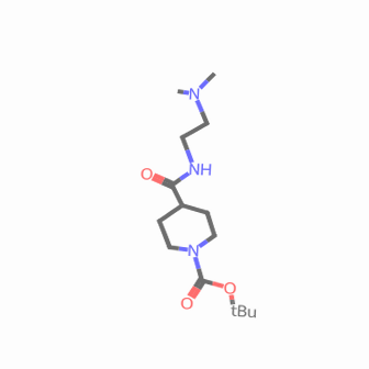 CN(C)CCNC(=O)C1CCN(C(=O)OC(C)(C)C)CC1